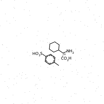 Cc1ccc(S(=O)(=O)O)cc1.N[C@H](C(=O)O)C1CCCCC1